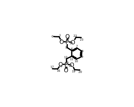 CCOP(=O)(Cc1ccccc1CP(=O)(OCC)OCC)OCC